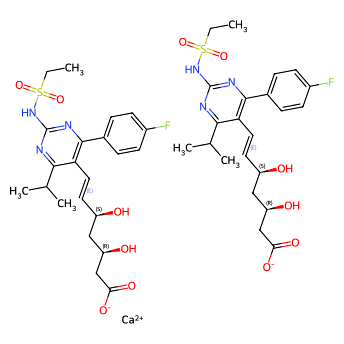 CCS(=O)(=O)Nc1nc(-c2ccc(F)cc2)c(/C=C/[C@@H](O)C[C@@H](O)CC(=O)[O-])c(C(C)C)n1.CCS(=O)(=O)Nc1nc(-c2ccc(F)cc2)c(/C=C/[C@@H](O)C[C@@H](O)CC(=O)[O-])c(C(C)C)n1.[Ca+2]